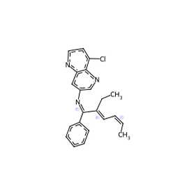 C\C=C/C=C(CC)/C(=N\c1cnc2c(Cl)ccnc2c1)c1ccccc1